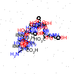 CC[C@H](C)[C@H](NC(=O)[C@H](CCCCN)NC(=O)[C@H](CC(=O)O)NC(=O)[C@H](CC(C)C)NC(=O)C(C)(C)NC(=O)[C@@H](NC(=O)[C@H](CO)NC(=O)[C@H](Cc1ccc(O)cc1)NC(=O)[C@H](CC(=O)O)NC(=O)[C@H](CO)NC(=O)[C@@H](NC(=O)[C@H](Cc1ccccc1)NC(=O)[C@@H](NC(=O)CNC(=O)[C@H](CCC(=O)O)NC(=O)C(C)(C)NC(=O)[C@@H](N)Cc1ccc(O)cc1)[C@@H](C)O)[C@@H](C)O)[C@@H](C)CC)C(=O)N[C@@H](C)C(=O)N[C@@H](CCC(N)=O)C(=O)O